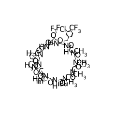 CC[C@H](C)[C@@H]1NC(=O)[C@H](CC(C)C)N(C)C(=O)C[C@@H](C(=O)N2CCCCC2)N(C)C(=O)[C@H](C2CCCCC2)N(C)C(=O)C2(CCCC2)NC(=O)[C@@H]2C[C@H](OCC(F)F)CN2C(=O)[C@H](CCc2ccc(C(F)(F)F)c(Cl)c2)NC(=O)CN(C)C(=O)[C@H](CC2CCCCC2)N(C)C(=O)CN(C)C(=O)CN(C)C1=O